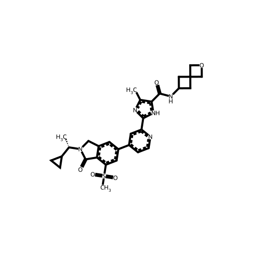 Cc1nc(-c2cc(-c3cc4c(c(S(C)(=O)=O)c3)C(=O)N([C@@H](C)C3CC3)C4)ccn2)[nH]c1C(=O)NC1CC2(COC2)C1